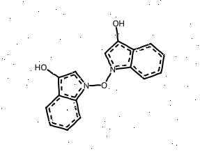 Oc1cn(On2cc(O)c3ccccc32)c2ccccc12